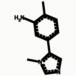 Cc1ccc(-c2cncn2C)cc1N